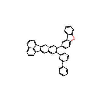 c1ccc(-c2cccc(-c3cc4cc5c(cc4cc3-c3ccc4oc6ccccc6c4c3)-c3cccc4cccc-5c34)c2)cc1